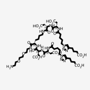 NCCOCCOCCNC(=O)[C@H](CCCCNC(=O)[C@H](CC(=O)O)NC(=O)[C@H](CC(=O)O)NC(=O)CCCCn1cc(CCCC(=O)O)nn1)NC(=O)[C@H](CC(=O)O)NC(=O)[C@H](CC(=O)O)NC(=O)CCCCn1cc(CCCC(=O)O)nn1